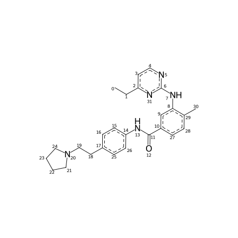 CCc1ccnc(Nc2cc(C(=O)Nc3ccc(CCN4CCCC4)cc3)ccc2C)n1